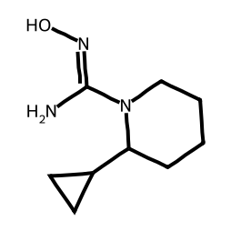 N/C(=N\O)N1CCCCC1C1CC1